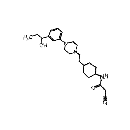 CCC(O)c1cccc(N2CCN(CCC3CCC(NC(=O)CC#N)CC3)CC2)c1